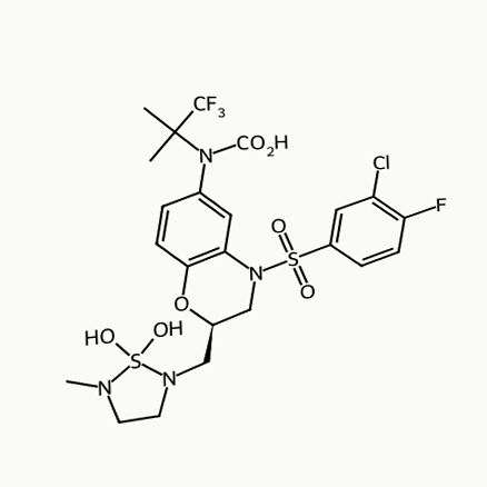 CN1CCN(C[C@@H]2CN(S(=O)(=O)c3ccc(F)c(Cl)c3)c3cc(N(C(=O)O)C(C)(C)C(F)(F)F)ccc3O2)S1(O)O